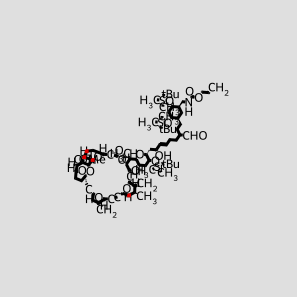 C=CCOC(=O)NC[C@H]1C[C@@H](CCC(C=O)CC/C=C/C(O)C[C@H]2O[C@H]3[C@H](C)[C@H]4OC(=O)C[C@H]5CC[C@@H]6O[C@@H]7C(OC)[C@@H](O[C@@]8(CC[C@H]9CC(=C)[C@H](CC[C@H]%10C[C@@H](C)C(=C)[C@@H](C[C@@H]4O[C@H]3CC2O[Si](C)(C)C(C)(C)C)O%10)O9)CC[C@@H]7O8)[C@H]6O5)[C@@H](O[Si](C)(C)C(C)(C)C)C[C@H]1O[Si](C)(C)C(C)(C)C